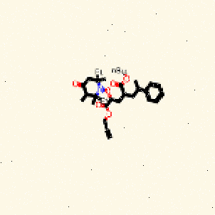 C#CCOC(=O)C(CC(CC(C)c1ccccc1)C(=O)OCCCC)ON1C(C)(CC)CC(=O)C(C)C1(C)CC